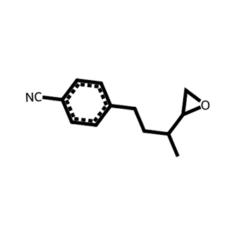 CC(CCc1ccc(C#N)cc1)C1CO1